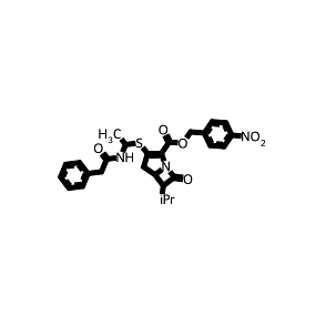 CC(NC(=O)Cc1ccccc1)SC1=C(C(=O)OCc2ccc([N+](=O)[O-])cc2)N2C(=O)C(C(C)C)C2C1